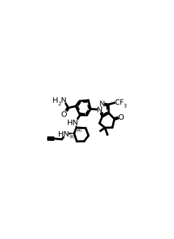 C#CCN[C@@H]1CCCC[C@H]1Nc1cc(-n2nc(C(F)(F)F)c3c2CC(C)(C)CC3=O)ccc1C(N)=O